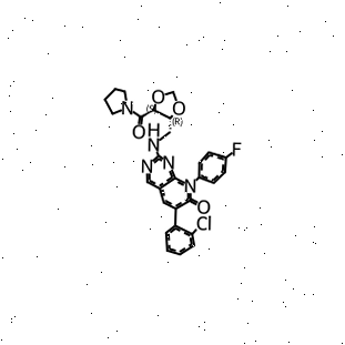 O=C([C@H]1OCO[C@@H]1CNc1ncc2cc(-c3ccccc3Cl)c(=O)n(-c3ccc(F)cc3)c2n1)N1CCCC1